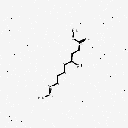 NN=NCCCCC(O)CCC(=O)ON